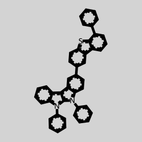 c1ccc(-c2cccc3c2sc2ccc(-c4ccc5c(c4)c4c6ccccc6n(-c6ccccc6)c4n5-c4ccccc4)cc23)cc1